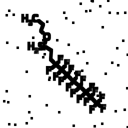 CCCO[SiH2]CCC(F)(F)C(F)(F)C(F)(F)C(F)(F)C(F)(F)C(F)(F)C(F)(F)C(F)(F)F